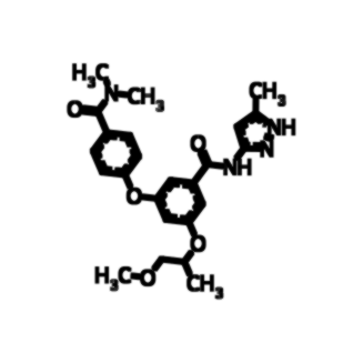 COCC(C)Oc1cc(Oc2ccc(C(=O)N(C)C)cc2)cc(C(=O)Nc2cc(C)[nH]n2)c1